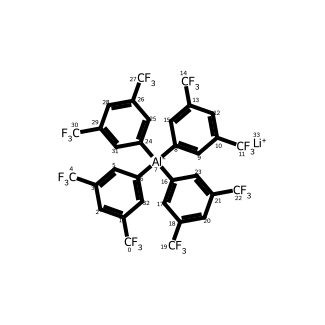 FC(F)(F)c1cc(C(F)(F)F)c[c]([Al-]([c]2cc(C(F)(F)F)cc(C(F)(F)F)c2)([c]2cc(C(F)(F)F)cc(C(F)(F)F)c2)[c]2cc(C(F)(F)F)cc(C(F)(F)F)c2)c1.[Li+]